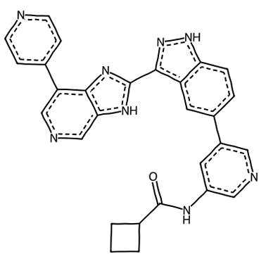 O=C(Nc1cncc(-c2ccc3[nH]nc(-c4nc5c(-c6ccncc6)cncc5[nH]4)c3c2)c1)C1CCC1